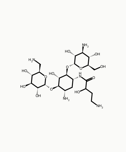 NCCC(O)C(=O)N[C@@H]1C[C@H](N)[C@@H](O[C@H]2O[C@H](CN)[C@@H](O)[C@H](O)[C@H]2O)[C@H](O)[C@H]1O[C@H]1O[C@H](CO)[C@@H](O)[C@H](N)[C@H]1O